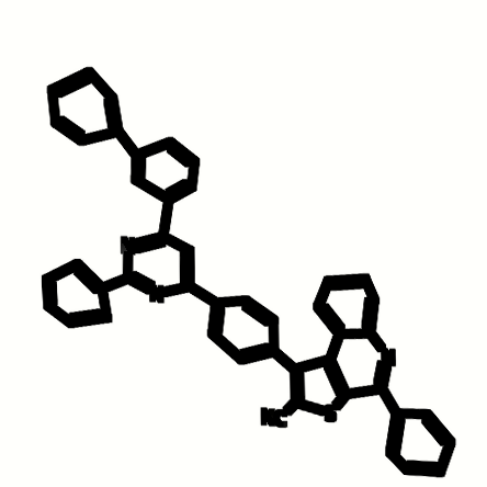 N#Cc1sc2c(-c3ccccc3)nc3ccccc3c2c1-c1ccc(-c2cc(-c3cccc(-c4ccccc4)c3)nc(-c3ccccc3)n2)cc1